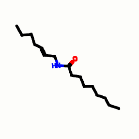 CCCC/C=C/CNC(=O)CCCCCCCC